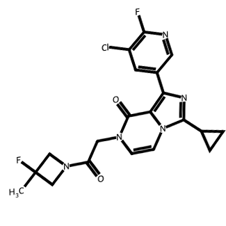 CC1(F)CN(C(=O)Cn2ccn3c(C4CC4)nc(-c4cnc(F)c(Cl)c4)c3c2=O)C1